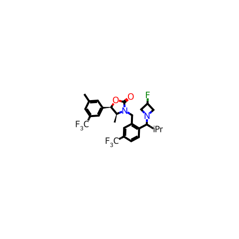 Cc1cc([C@H]2OC(=O)N(Cc3cc(C(F)(F)F)ccc3C(C(C)C)N3CC(F)C3)[C@H]2C)cc(C(F)(F)F)c1